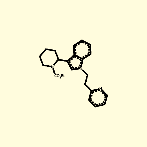 CCOC(=O)N1CCCCC1c1cn(CCc2ccccn2)c2ccccc12